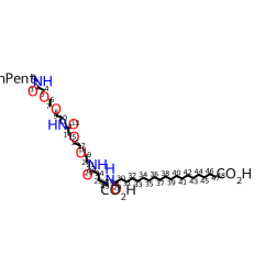 CCCCCNC(=O)COCCOCCNC(=O)COCCOCCNC(=O)CC[C@H](NC(=O)CCCCCCCCCCCCCCCCCCC(=O)O)C(=O)O